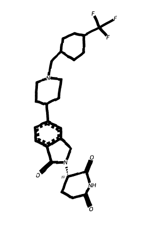 O=C1CC[C@H](N2Cc3cc(C4CCN(CC5CCC(C(F)(F)F)CC5)CC4)ccc3C2=O)C(=O)N1